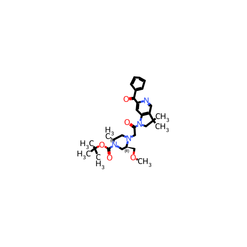 COC[C@H]1CN(C(=O)OC(C)(C)C)[C@H](C)CN1CC(=O)N1CC(C)(C)c2cnc(C(=O)c3ccccc3)cc21